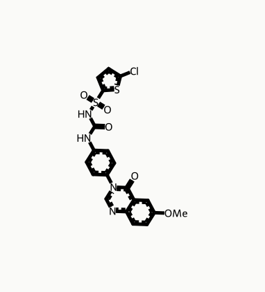 COc1ccc2ncn(-c3ccc(NC(=O)NS(=O)(=O)c4ccc(Cl)s4)cc3)c(=O)c2c1